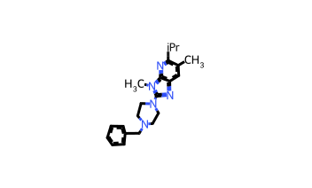 Cc1cc2nc(N3CCN(Cc4ccccc4)CC3)n(C)c2nc1C(C)C